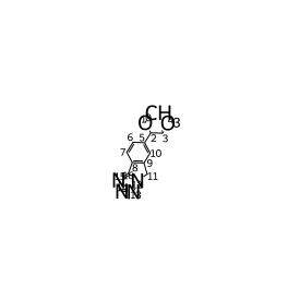 COC(C=O)c1ccc2c(c1)Cn1nnnc1-2